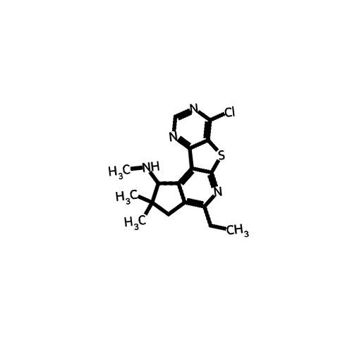 CCc1nc2sc3c(Cl)ncnc3c2c2c1CC(C)(C)C2NC